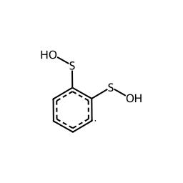 OSc1[c]cccc1SO